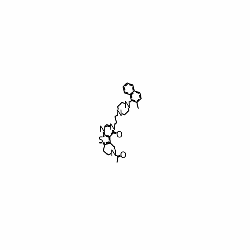 CC(=O)N1CCc2sc3ncn(CCN4CCN(c5c(C)ccc6ccccc56)CC4)c(=O)c3c2C1